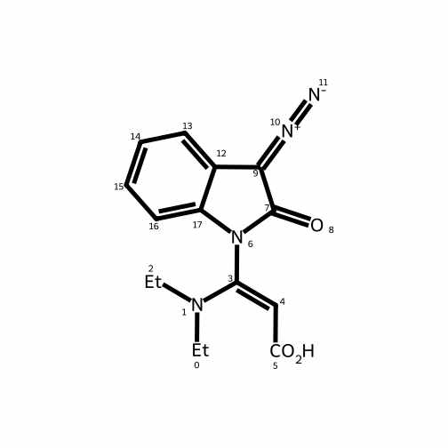 CCN(CC)/C(=C\C(=O)O)N1C(=O)C(=[N+]=[N-])c2ccccc21